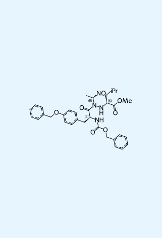 COC(=O)[C@H](CC(C)C)NN(C(=O)[C@H](Cc1ccc(OCc2ccccc2)cc1)NC(=O)OCc1ccccc1)[C@@H](C)N=O